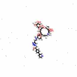 CC[C@H]1OC(=O)[C@H](C)[C@@H](O[C@H]2C[C@@](C)(OC)[C@@H](O)[C@H](C)O2)[C@H](C)[C@@H](O[C@H]2C[C@@H](N(C)CCc3cn(CC(OC)c4ccc(-c5cccnc5)cc4)nn3)C[C@@H](C)O2)[C@](C)(O)C[C@@H](C)CN(C)[C@H](C)[C@@H](O)[C@]1(C)O